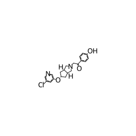 O=C(CN1C[C@H]2CC(Oc3cncc(Cl)c3)C[C@H]2C1)c1ccc(O)cc1